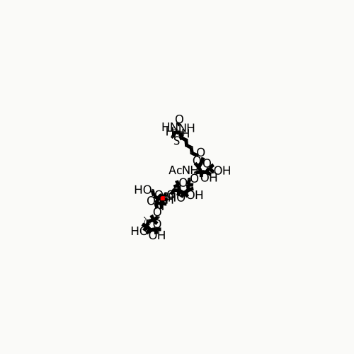 CC(=O)NC1(C)C(C)(OC(=O)CCCCC2SC[C@@H]3NC(=O)N[C@H]23)OC(C)(CO)C(C)(O)C1(C)COCC1(C)OC(C)(C)C(C)(COCC2(C)OC3(CO)OC(C)(C3(C)O)C2(C)COCC2(C)OC(C)(C)C(C)(O)C(C)(O)[C@@H]2C)C(C)(O)C1(C)O